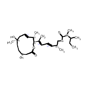 CCC(C)N(C)C(=O)OC[C@H](C)/C=C/C=C(\C)[C@H]1OC(=O)C[C@H](O)CC[C@@](C)(O)C/C=C/[C@@H]1C